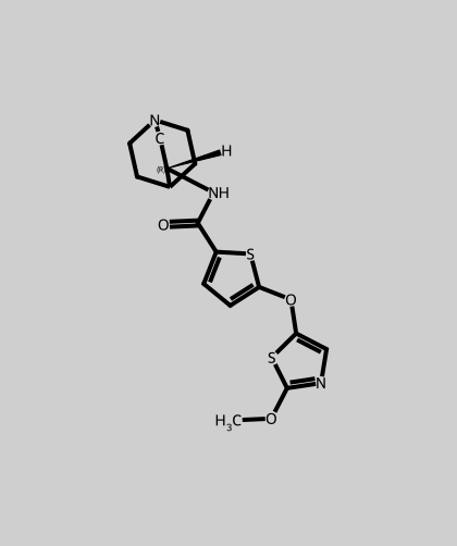 COc1ncc(Oc2ccc(C(=O)N[C@H]3CN4CCC3CC4)s2)s1